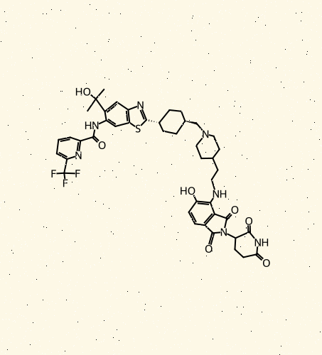 CC(C)(O)c1cc2nc([C@H]3CC[C@H](CN4CCC(CCNc5c(O)ccc6c5C(=O)N(C5CCC(=O)NC5=O)C6=O)CC4)CC3)sc2cc1NC(=O)c1cccc(C(F)(F)F)n1